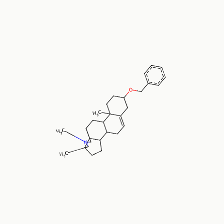 CC1C2CCC3C4CC=C5CC(OCc6ccccc6)CCC5(C)C4CCC32CN1C